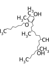 CCCCCCCCOC1=C(C)C(C)C(O)C=C1CCC(C)CCCC(C)CCCC(C)(O)CCCCC